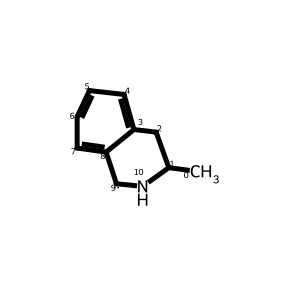 CC1Cc2ccccc2[C]N1